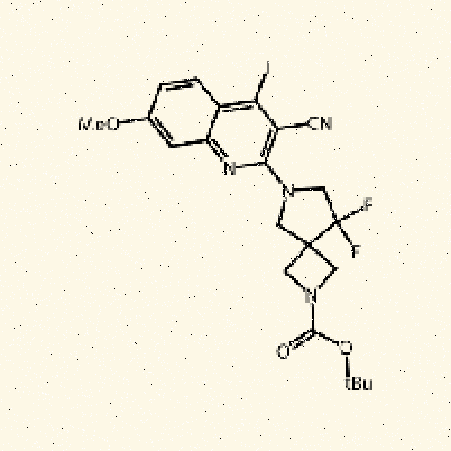 COc1ccc2c(I)c(C#N)c(N3CC(F)(F)C4(CN(C(=O)OC(C)(C)C)C4)C3)nc2c1